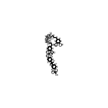 COc1ccc(CCC[Si](C)(C)O[Si](C)(C)O[Si](C)(C)CCCc2ccc(OC(=O)Oc3ccc(C(C)(C)c4ccc(OC(C)=O)cc4)cc3)c(OC)c2)cc1OC